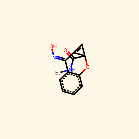 CCNC(=O)C12C=C1C(=NO)c1ccccc1O2